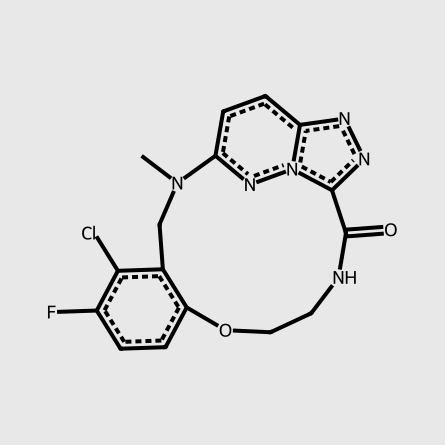 CN1Cc2c(ccc(F)c2Cl)OCCNC(=O)c2nnc3ccc1nn23